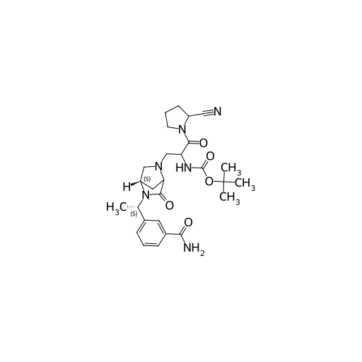 C[C@@H](c1cccc(C(N)=O)c1)N1C(=O)C2C[C@H]1CN2CC(NC(=O)OC(C)(C)C)C(=O)N1CCCC1C#N